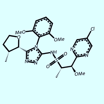 COc1cccc(OC)c1-n1c(NS(=O)(=O)[C@@H](C)[C@H](OC)c2ncc(Cl)cn2)nnc1[C@H]1OCC[C@H]1C